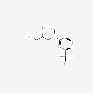 CCN(CC(N)CO)c1ccnc(C(F)(F)F)n1